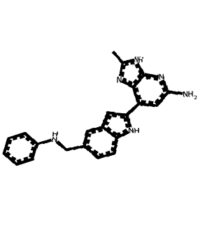 Cc1nc2c(-c3cc4cc(CNc5ccccc5)ccc4[nH]3)cc(N)nc2[nH]1